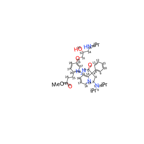 CC(C)N(CCC(C(N)=O)(c1ccccc1)c1ccccn1)C(C)C.COC(=O)CCc1ccc(OCC(O)CNC(C)C)cc1